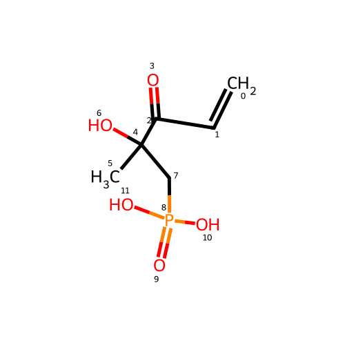 C=CC(=O)C(C)(O)CP(=O)(O)O